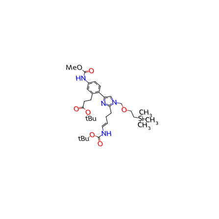 COC(=O)Nc1ccc(-c2cn(COCC[Si](C)(C)C)c(CCC=CNC(=O)OC(C)(C)C)n2)c(CCC(=O)OC(C)(C)C)c1